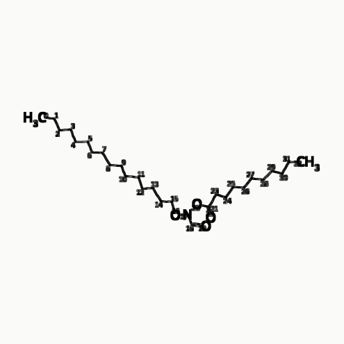 CCCCCCCCCCCCCCCCON(C=O)OC(=O)CCCCCCCCCC